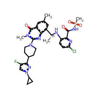 Cc1cc([C@@H](C)Nc2ccc(Cl)nc2C(=O)NS(C)(=O)=O)c2nc(N3CCC(c4nn(C5CC5)cc4F)CC3)n(C)c(=O)c2c1